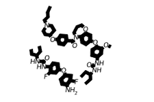 CCC(CC)NC(=O)Nc1ccc(Oc2ccc(N)c(F)c2)cc1F.CCCCN1CCC(Oc2ccc(C(=O)N3CCCOc4cc(Oc5ccc(NC(=O)NC(CC)CC)cc5OC)ccc43)cc2)CC1